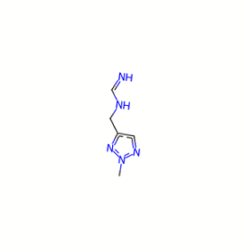 Cn1ncc(CNC=N)n1